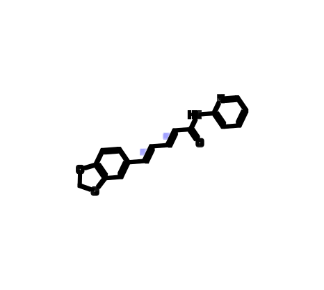 O=C(/C=C/C=C/c1ccc2c(c1)OCO2)Nc1ccccn1